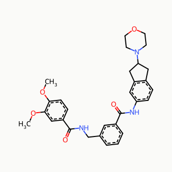 COc1ccc(C(=O)NCc2cccc(C(=O)Nc3ccc4c(c3)CC(N3CCOCC3)C4)c2)cc1OC